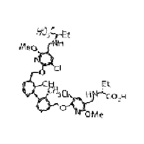 CC[C@@H](NCc1cc(Cl)c(OCc2cccc(-c3cccc(COc4nc(OC)c(CN[C@H](CC)C(=O)O)cc4Cl)c3C)c2C)nc1OC)C(=O)O